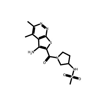 Cc1nnc2sc(C(=O)N3CCC(NS(C)(=O)=O)C3)c(N)c2c1C